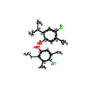 CCc1c(O)cc(C)c(Cl)c1C.Cc1cc(O)c(C(C)C)cc1Cl